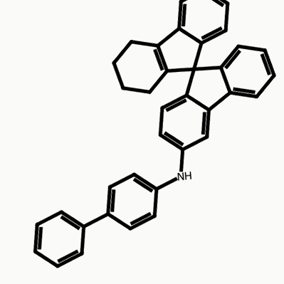 c1ccc(-c2ccc(Nc3ccc4c(c3)-c3ccccc3C43C4=C(CCCC4)c4ccccc43)cc2)cc1